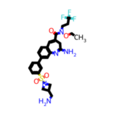 CCON(CCC(F)(F)F)C(=O)C1=Cc2ccc(-c3cccc(S(=O)(=O)N4CC(CN)C4)c3)cc2N=C(N)C1